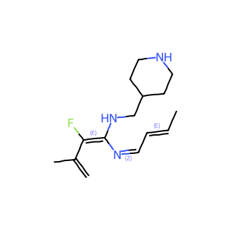 C=C(C)\C(F)=C(/N=C\C=C\C)NCC1CCNCC1